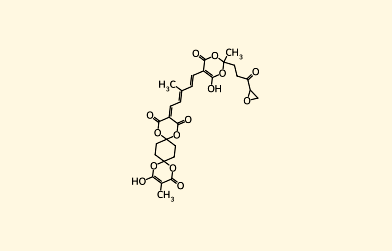 CC1=C(O)OC2(CCC3(CC2)OC(=O)C(=C/C=C(C)/C=C/C2=C(O)OC(C)(CCC(=O)C4CO4)OC2=O)C(=O)O3)OC1=O